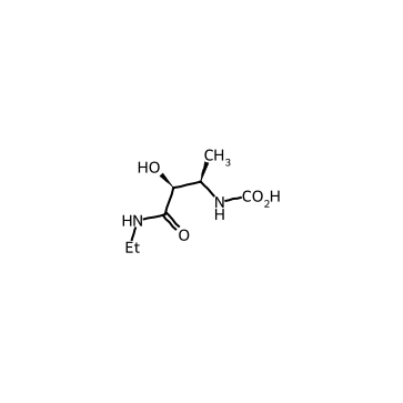 CCNC(=O)[C@@H](O)[C@@H](C)NC(=O)O